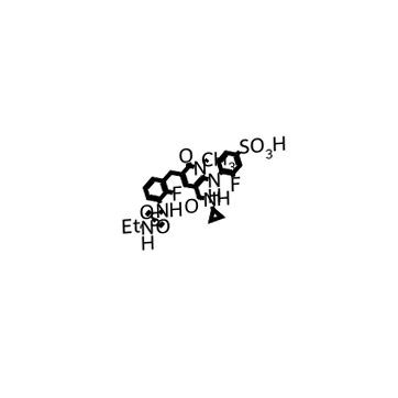 CCNS(=O)(=O)Nc1cccc(Cc2cc(C(=O)NC3CC3)c(Nc3ccc(S(=O)(=O)O)cc3F)n(C)c2=O)c1F